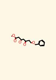 COC(=O)CC(=O)CC(=O)CCOCc1ccccc1